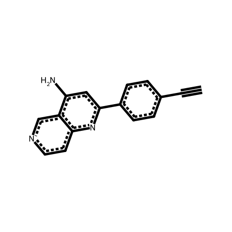 C#Cc1ccc(-c2cc(N)c3cnccc3n2)cc1